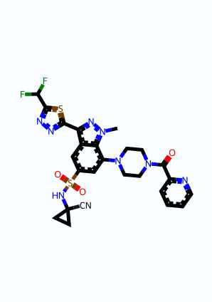 Cn1nc(-c2nnc(C(F)F)s2)c2cc(S(=O)(=O)NC3(C#N)CC3)cc(N3CCN(C(=O)c4ccccn4)CC3)c21